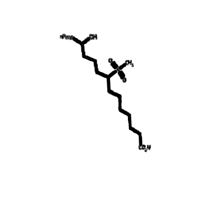 CCCCCC(O)CCCC(CCCCCCC(=O)O)S(C)(=O)=O